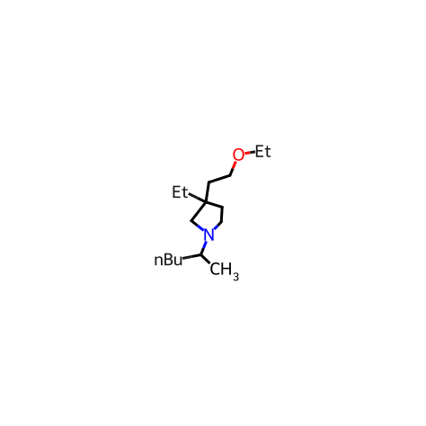 CCCCC(C)N1CCC(CC)(CCOCC)C1